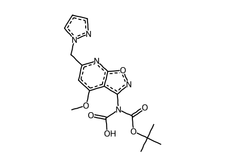 COc1cc(Cn2cccn2)nc2onc(N(C(=O)O)C(=O)OC(C)(C)C)c12